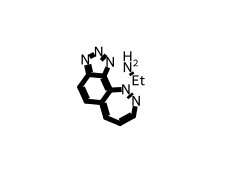 CCN.c1cnnc2c(c1)ccc1nnnc12